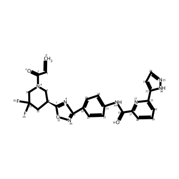 C=CC(=O)N1C[C@@H](c2nc(-c3ccc(NC(=O)c4cccc(-c5ccn[nH]5)n4)cc3)no2)CC(F)(F)C1